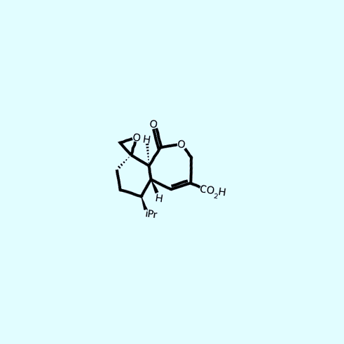 CC(C)[C@H]1CC[C@@]2(CO2)[C@H]2C(=O)OCC(C(=O)O)=C[C@H]12